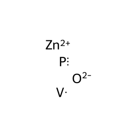 [O-2].[P].[V].[Zn+2]